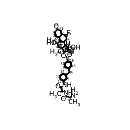 C[C@H](N)C(=O)N[C@@H](C)C(=O)Nc1cccc(Cc2ccc([C@@H]3O[C@@H]4C[C@H]5C6C[C@H](F)C7=CC(=O)C=CC7(C)[C@@]6(F)C(O)CC5(C)[C@]4(C(=O)CO)O3)cc2)c1